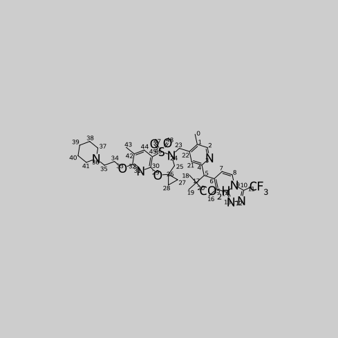 Cc1cnc(C(c2ccn3c(C(F)(F)F)nnc3c2C)C(C)(C)C(=O)O)cc1CN1CC2(CC2)Oc2nc(OCCN3CCCCC3)c(C)cc2S1(=O)=O